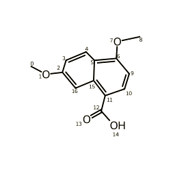 COc1ccc2c(OC)ccc(C(=O)O)c2c1